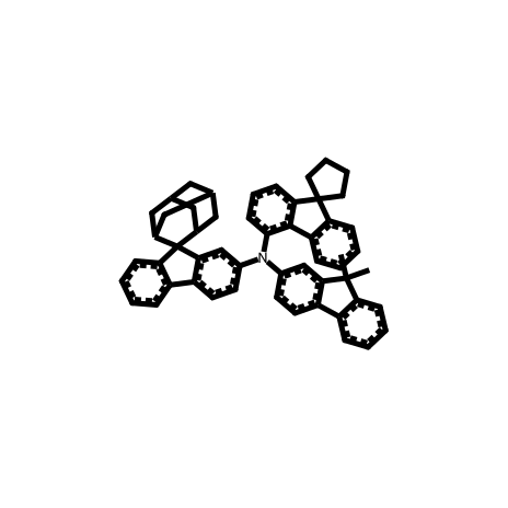 CC1(C)c2ccccc2-c2ccc(N(c3ccc4c(c3)C3(c5ccccc5-4)C4CC5CC(C4)CC3C5)c3cccc4c3-c3ccccc3C43CCCC3)cc21